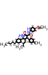 CCC=Cc1c(-c2ccc(CCCCC)cc2)[nH]c(=O)c(C(=O)Nc2ccc(OCC)cc2)c1-c1ccc(C)cc1